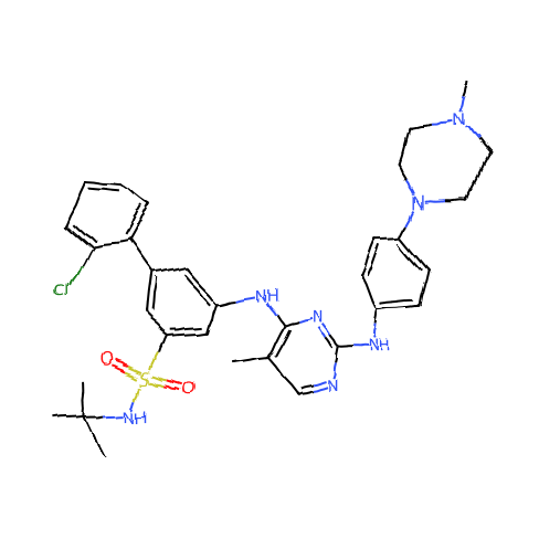 Cc1cnc(Nc2ccc(N3CCN(C)CC3)cc2)nc1Nc1cc(-c2ccccc2Cl)cc(S(=O)(=O)NC(C)(C)C)c1